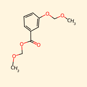 COCOC(=O)c1cccc(OCOC)c1